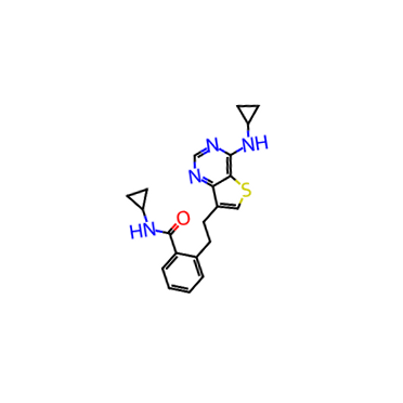 O=C(NC1CC1)c1ccccc1CCc1csc2c(NC3CC3)ncnc12